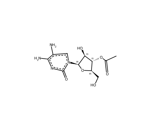 CC(=O)O[C@H]1[C@H](O)[C@H](n2cc(N)c(N)nc2=O)O[C@@H]1CO